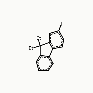 CCC1(CC)c2ccccc2-c2ccc(I)cc21